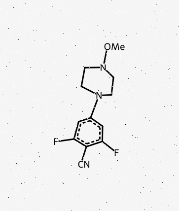 CON1CCN(c2cc(F)c(C#N)c(F)c2)CC1